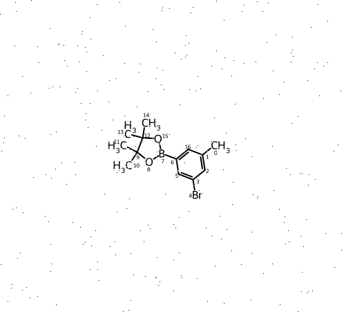 Cc1cc(Br)cc(B2OC(C)(C)C(C)(C)O2)c1